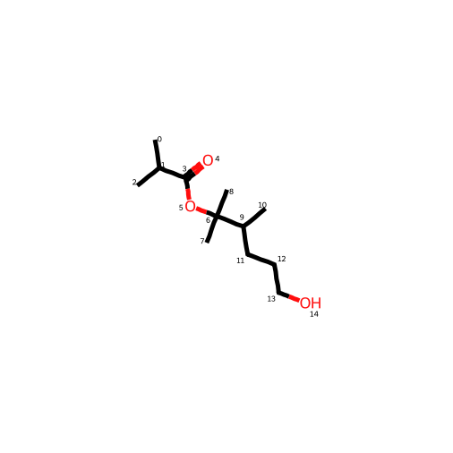 CC(C)C(=O)OC(C)(C)C(C)CCCO